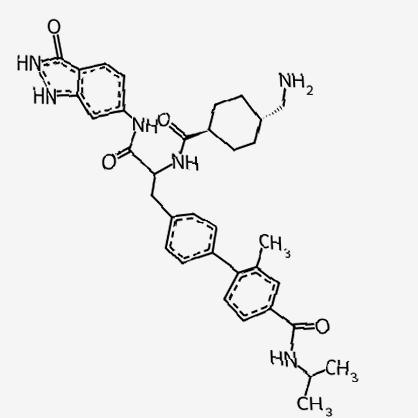 Cc1cc(C(=O)NC(C)C)ccc1-c1ccc(CC(NC(=O)[C@H]2CC[C@H](CN)CC2)C(=O)Nc2ccc3c(=O)[nH][nH]c3c2)cc1